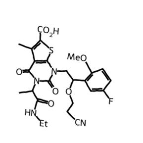 CCNC(=O)C(C)n1c(=O)c2c(C)c(C(=O)O)sc2n(CC(OCCC#N)c2cc(F)ccc2OC)c1=O